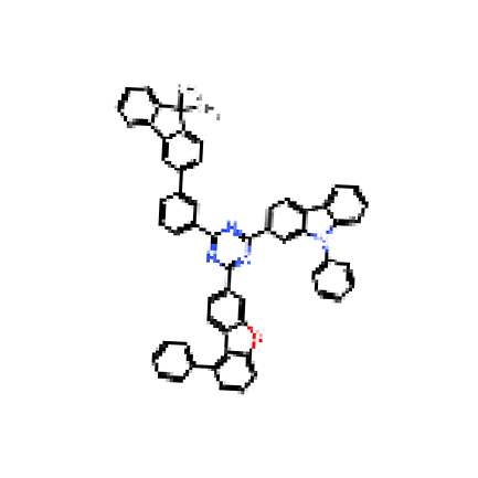 CC1(C)c2ccccc2-c2cc(-c3cccc(-c4nc(-c5ccc6c(c5)oc5cccc(-c7ccccc7)c56)nc(-c5ccc6c7ccccc7n(-c7ccccc7)c6c5)n4)c3)ccc21